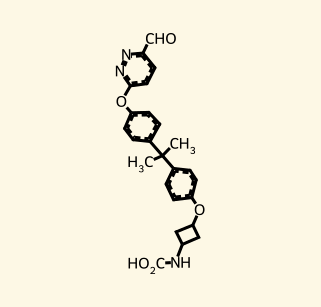 CC(C)(c1ccc(Oc2ccc(C=O)nn2)cc1)c1ccc(OC2CC(NC(=O)O)C2)cc1